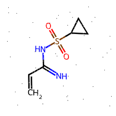 C=CC(=N)NS(=O)(=O)C1CC1